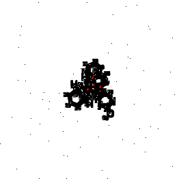 COc1cnc(-c2nc3ccccc3n2[C@H]2C[C@H]3CCC[C@@H](C2)N3[C@H]2C[C@@H]3CCC[C@@H](C3)C2)cn1